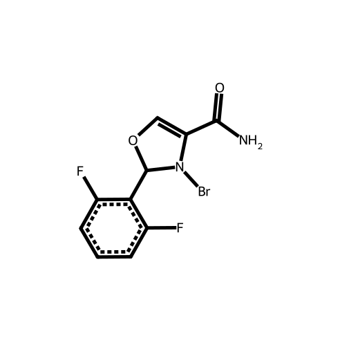 NC(=O)C1=COC(c2c(F)cccc2F)N1Br